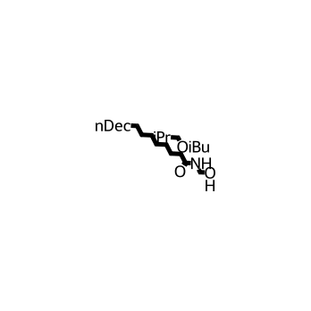 CC(C)COCC(C)C.CCCCCCCCCCCCCCCCCC(=O)NCO